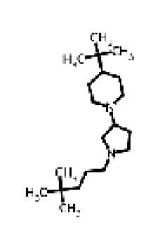 CC(C)(C)CCCN1CCC(N2CCC(C(C)(C)C)CC2)C1